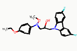 CCOc1ccc(N(CC(O)Cn2c3ccc(F)cc3c3cc(F)ccc32)OC)cc1